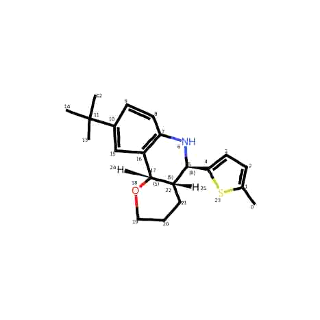 Cc1ccc([C@@H]2Nc3ccc(C(C)(C)C)cc3[C@H]3OCCC[C@H]32)s1